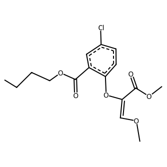 CCCCOC(=O)c1cc(Cl)ccc1OC(=COC)C(=O)OC